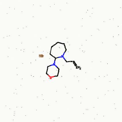 Br.C=CCN1CCCCCC1N1CCOCC1